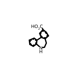 O=C(O)c1ccc2c(c1)-c1ccccc1NCC2